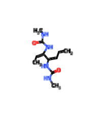 C=C/C=C(NC(=O)NC)\C(=C/C)NC(=O)NC